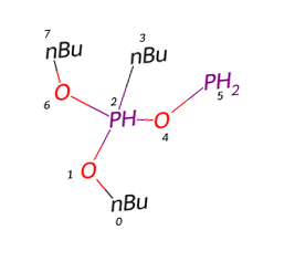 CCCCO[PH](CCCC)(OP)OCCCC